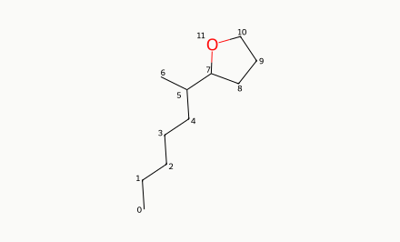 CCCCCC(C)C1CCCO1